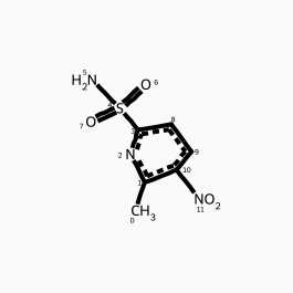 Cc1nc(S(N)(=O)=O)ccc1[N+](=O)[O-]